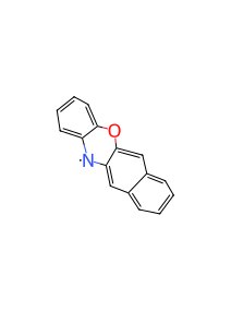 c1ccc2c(c1)[N]c1cc3ccccc3cc1O2